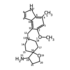 COc1cc(C)c2[nH]ccc2c1CN1CCC2(CC1)OCCC2N